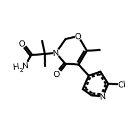 CC1=C(c2ccnc(Cl)c2)C(=O)N(C(C)(C)C(N)=O)CO1